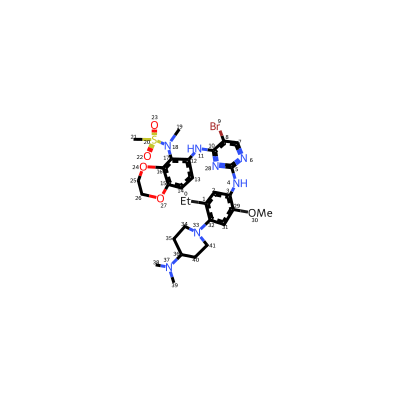 CCc1cc(Nc2ncc(Br)c(Nc3ccc4c(c3N(C)S(C)(=O)=O)OCCO4)n2)c(OC)cc1N1CCC(N(C)C)CC1